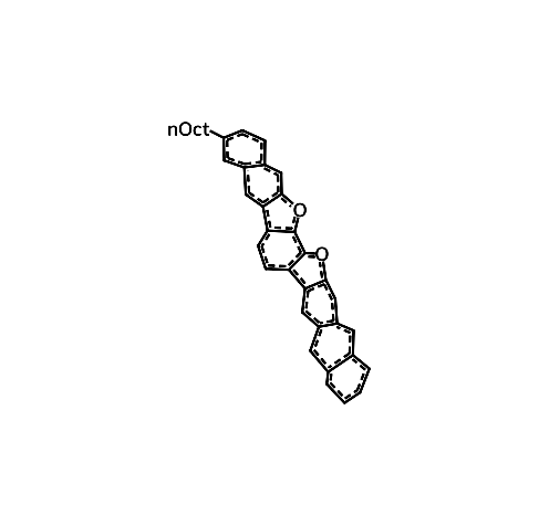 CCCCCCCCc1ccc2cc3oc4c(ccc5c6cc7cc8ccccc8cc7cc6oc54)c3cc2c1